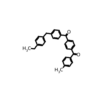 CCc1ccc(Cc2ccc(C(=O)c3ccc(C(=O)c4ccc(C)cc4)cc3)cc2)cc1